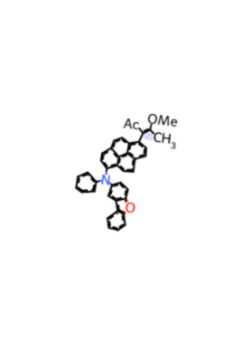 CO/C(C)=C(\C(C)=O)c1ccc2ccc3c(N(c4ccccc4)c4ccc5oc6ccccc6c5c4)ccc4ccc1c2c43